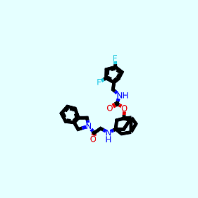 O=C(NCc1ccc(F)cc1F)OC12CC3CC1CC(NCC(=O)N1Cc4ccccc4C1)(C3)C2